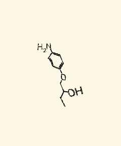 CCC(O)COc1ccc(N)cc1